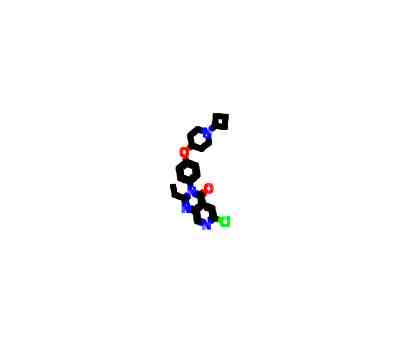 CCc1nc2cnc(Cl)cc2c(=O)n1-c1ccc(OC2CCN(C3CCC3)CC2)cc1